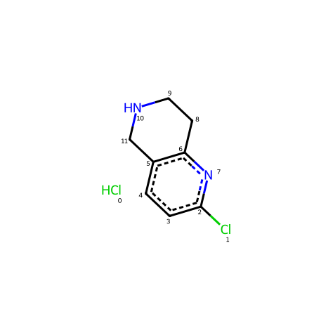 Cl.Clc1ccc2c(n1)CCNC2